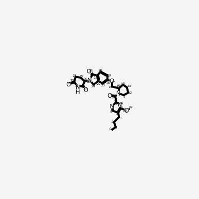 CCCCc1cnc(C(=O)N2CCCCC2COc2ccc3c(c2)CN(C2CCC(=O)NC2=O)C3=O)nc1OC